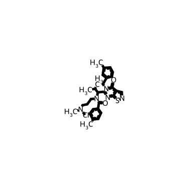 Cc1ccc(C(=O)N(CCCN(C)C)C(c2nc3sncc3c(=O)n2Cc2cccc(C)c2)C(C)C)cc1